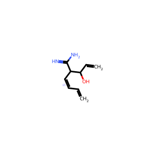 C=C/C=C\C(C(=N)N)C(O)C=C